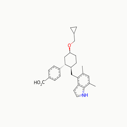 Cc1cc(C)c2[nH]ccc2c1C[C@@H]1CC[C@H](OCC2CC2)C[C@H]1c1ccc(C(=O)O)cc1